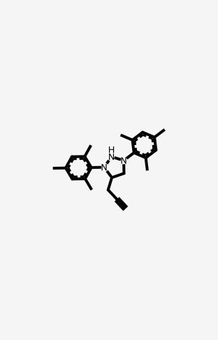 C#CCC1CN(c2c(C)cc(C)cc2C)NN1c1c(C)cc(C)cc1C